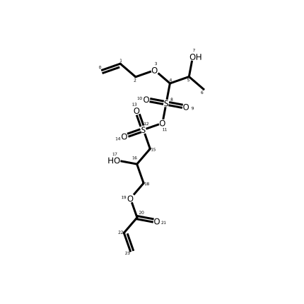 C=CCOC(C(C)O)S(=O)(=O)OS(=O)(=O)CC(O)COC(=O)C=C